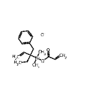 C=CC(=O)O[N+](C)(C)C(C=C)(CC)Cc1ccccc1.[Cl-]